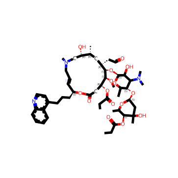 CCC(=O)O[C@@H]1CC(=O)O[C@@H](CCCc2ccnc3ccccc23)/C=C/CN(C)C[C@H](O)[C@H](C)C[C@H](CC=O)[C@H](O[C@@H]2OC(C)[C@@H](O[C@H]3CC(C)(O)[C@@H](OC(=O)CC)C(C)O3)C(N(C)C)C2O)[C@H]1OC